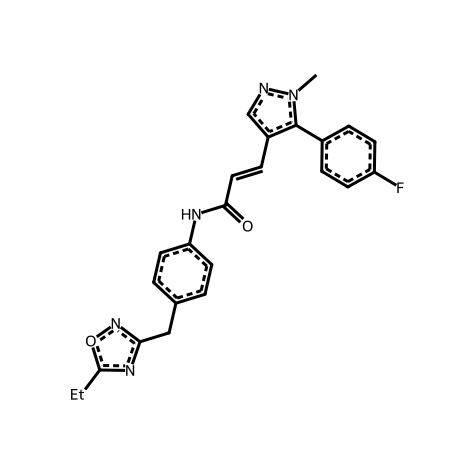 CCc1nc(Cc2ccc(NC(=O)/C=C/c3cnn(C)c3-c3ccc(F)cc3)cc2)no1